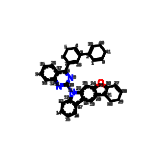 C1=CC(C2=CCCC(c3nc(-n4c5ccccc5c5cc6c7c(oc6cc54)C=CCC7)nc4ccccc34)=C2)=CCC1